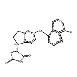 O=C1NC(=O)C([C@@H]2CCc3cc(Oc4ccnc5c(F)cccc45)ccc32)S1